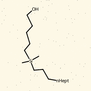 CCCCCCCCCC[Si](C)(C)CCCCCO